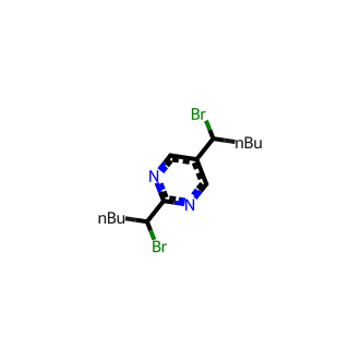 CCCCC(Br)c1cnc(C(Br)CCCC)nc1